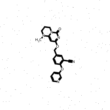 CN1CCCn2c1cc(OCc1ccc(Oc3cccnc3)c(C#N)c1)nc2=O